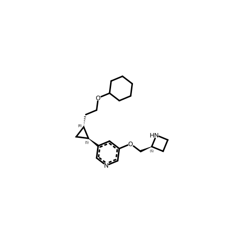 c1ncc([C@H]2C[C@@H]2CCOC2CCCCC2)cc1OC[C@@H]1CCN1